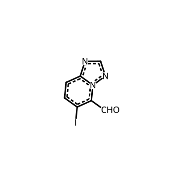 O=Cc1c(I)ccc2ncnn12